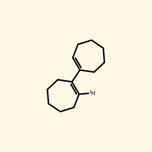 [2H]C1=C(C2=CCCCCC2)CCCCC1